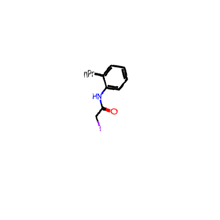 CCCc1ccccc1NC(=O)CI